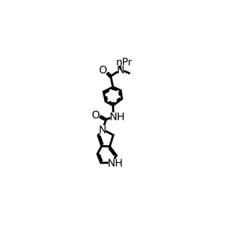 CCCN(C)C(=O)c1ccc(NC(=O)N2C=C3C=CNC=C3C2)cc1